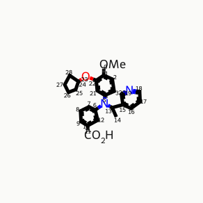 COc1ccc(N(c2cccc(C(=O)O)c2)C(C)c2cccnc2)cc1OC1CCCC1